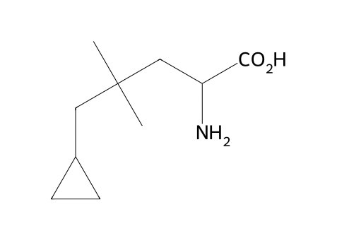 CC(C)(CC1CC1)CC(N)C(=O)O